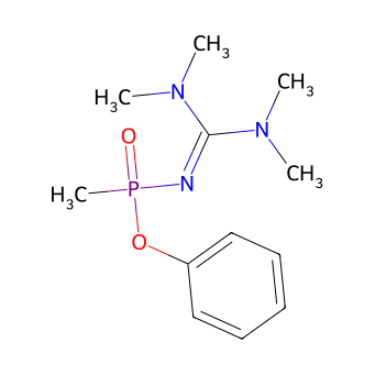 CN(C)C(=NP(C)(=O)Oc1ccccc1)N(C)C